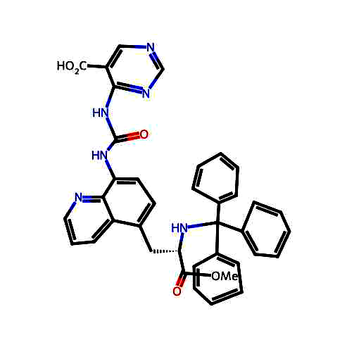 COC(=O)[C@H](Cc1ccc(NC(=O)Nc2ncncc2C(=O)O)c2ncccc12)NC(c1ccccc1)(c1ccccc1)c1ccccc1